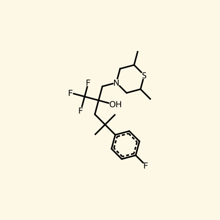 CC1CN(CC(O)(CC(C)(C)c2ccc(F)cc2)C(F)(F)F)CC(C)S1